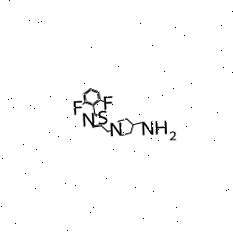 NCC1CCN(Cc2cnc(-c3c(F)cccc3F)s2)CC1